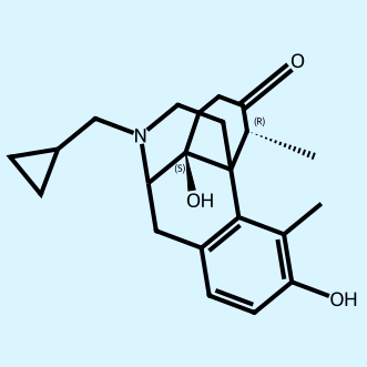 Cc1c(O)ccc2c1C13CCN(CC4CC4)C(C2)[C@]1(O)CCC(=O)[C@@H]3C